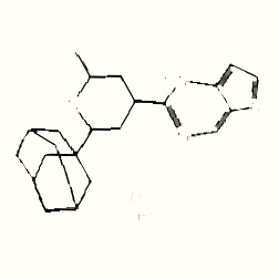 CC1CC(c2ncc3nccc-3[nH]2)CC(C23CC4CC(CC(C4)C2)C3)N1.Cl.O